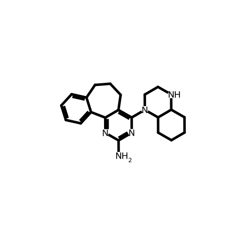 Nc1nc2c(c(N3CCNC4CCCCC43)n1)CCCc1ccccc1-2